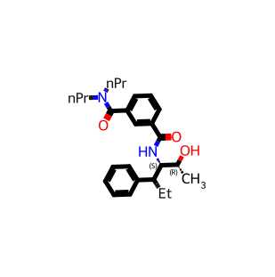 CCCN(CCC)C(=O)c1cccc(C(=O)N[C@@H](C(CC)c2ccccc2)[C@@H](C)O)c1